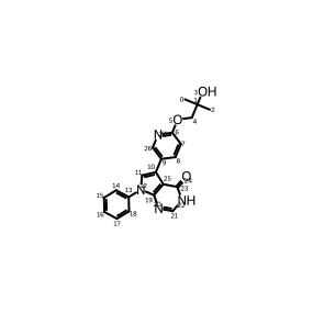 CC(C)(O)COc1ccc(-c2cn(-c3ccccc3)c3nc[nH]c(=O)c23)cn1